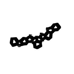 c1ccc2c(c1)oc1cc3c(cc12)nc1n3c2cccc3c2n1c1nc2c4oc5ccccc5c4ccc2n31